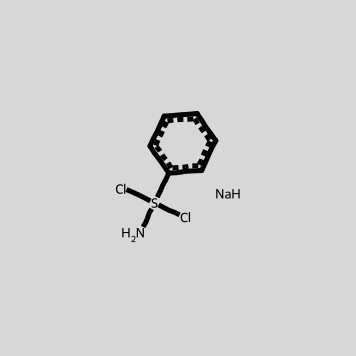 NS(Cl)(Cl)c1ccccc1.[NaH]